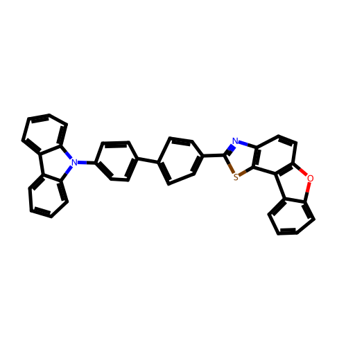 c1ccc2c(c1)oc1ccc3nc(-c4ccc(-c5ccc(-n6c7ccccc7c7ccccc76)cc5)cc4)sc3c12